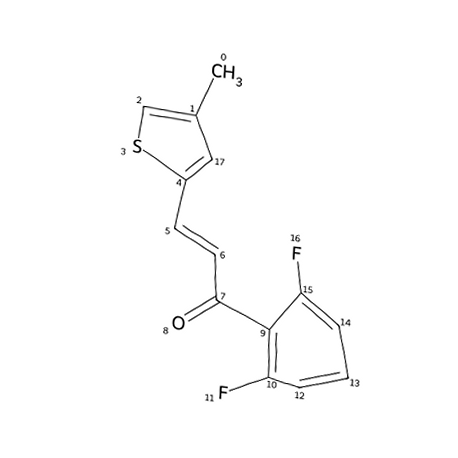 Cc1csc(/C=C/C(=O)c2c(F)cccc2F)c1